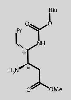 COC(=O)C[C@@H](N)[C@H](CC(C)C)NC(=O)OC(C)(C)C